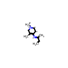 C=C/C(C)=N/C1=C(C)CN(C)CC1